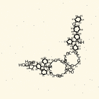 C1CCOC1.C1COCCOCCOCCOCCO1.C1COCCOCCOCCOCCOCCO1.Cl.Cl.N=P(c1ccccc1)(c1ccccc1)c1ccccc1.N=P(c1ccccc1)(c1ccccc1)c1ccccc1.O=S1(=O)CCCC1.c1ccc(Oc2ccccc2)cc1